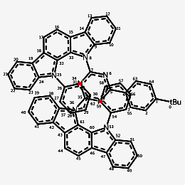 CC(C)(C)c1ccc(-c2nc(-n3c4ccccc4c4ccc5c6ccccc6n(-c6ccccc6)c5c43)nc(-n3c4ccccc4c4ccc5c6ccccc6n(-c6ccccc6)c5c43)n2)cc1